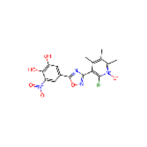 Cc1c(C)c(C)[n+]([O-])c(Br)c1-c1noc(-c2cc(O)c(O)c([N+](=O)[O-])c2)n1